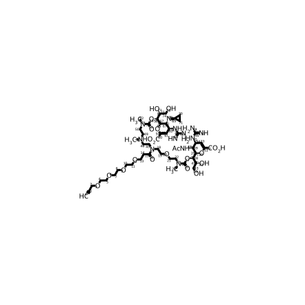 C#CCOCCOCCOCCOCCC(=O)N(CCOCCN(C)C(=O)O[C@@H]([C@@H]1OC(C(=O)O)=C[C@H](NC(=N)N)[C@H]1NC(C)=O)[C@H](O)CO)CCN(C)CCN(C)C(=O)O[C@@H]([C@@H]1OC(C(=O)O)=C[C@H](NC(=N)N)[C@H]1N=C1CC1)[C@H](O)CO